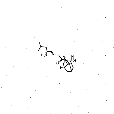 CC(C)C[C@H](N)/C=C/CC(=O)NC1[C@@H]2CC3C[C@H]1CC(C)(C2)N3O